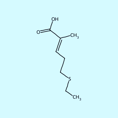 CCSCC/C=C(\C)C(=O)O